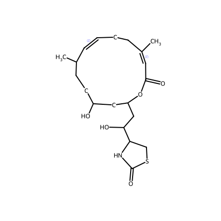 C/C1=C/C(=O)OC(CC(O)C2CSC(=O)N2)CC(O)CCC(C)/C=C\CC1